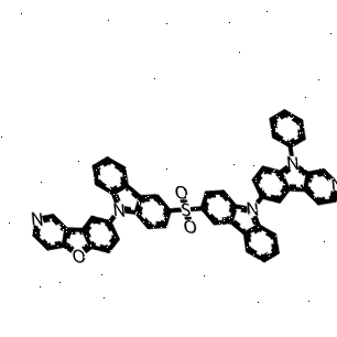 O=S(=O)(c1ccc2c(c1)c1ccccc1n2-c1ccc2oc3ccncc3c2c1)c1ccc2c(c1)c1ccccc1n2-c1ccc2c(c1)c1ccncc1n2-c1ccccc1